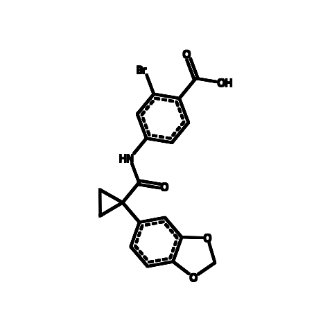 O=C(O)c1ccc(NC(=O)C2(c3ccc4c(c3)OCO4)CC2)cc1Br